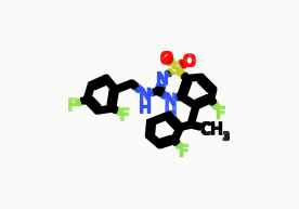 CC(c1ccccc1F)c1c(F)ccc2c1NC(NCc1ccc(F)cc1F)=NS2(=O)=O